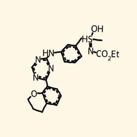 CCOC(=O)N=[SH](C)(O)Cc1cccc(Nc2ncnc(-c3cccc4c3OCCC4)n2)c1